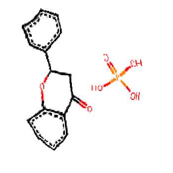 O=C1CC(c2ccccc2)Oc2ccccc21.O=P(O)(O)O